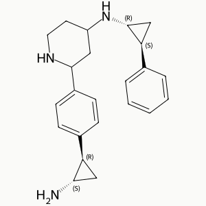 N[C@H]1C[C@@H]1c1ccc(C2CC(N[C@@H]3C[C@H]3c3ccccc3)CCN2)cc1